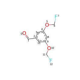 O=Cc1cc(OCF)cc(OCF)c1